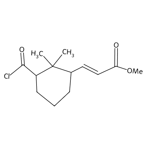 COC(=O)/C=C/C1CCCC(C(=O)Cl)C1(C)C